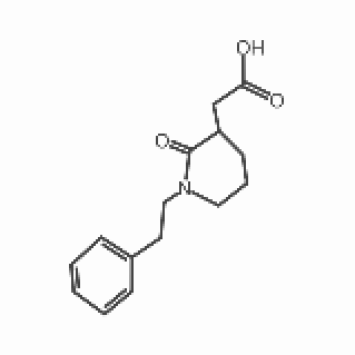 O=C(O)CC1CCCN(CCc2ccccc2)C1=O